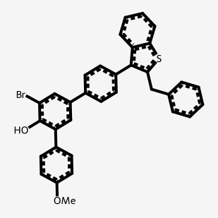 COc1ccc(-c2cc(-c3ccc(-c4c(Cc5ccccc5)sc5ccccc45)cc3)cc(Br)c2O)cc1